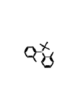 Cc1ccccc1P(c1ccccc1C)C(C)(C)C